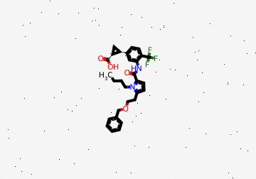 CCCCn1c(CCOCc2ccccc2)ccc1C(=O)Nc1cc([C@H]2C[C@H]2C(=O)O)ccc1C(F)(F)F